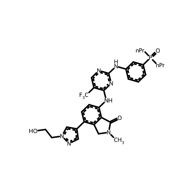 CCCP(=O)(CCC)c1cccc(Nc2ncc(C(F)(F)F)c(Nc3ccc(-c4cnn(CCO)c4)c4c3C(=O)N(C)C4)n2)c1